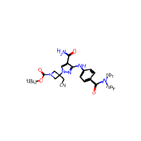 CCCN(CCC)C(=O)c1ccc(Nc2nn(C3(CC#N)CN(C(=O)OC(C)(C)C)C3)cc2C(N)=O)cc1